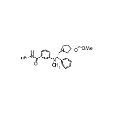 CCCNC(=O)c1cccc(N(C)[C@H](CN2CC[C@H](OCOC)C2)c2ccccc2)c1